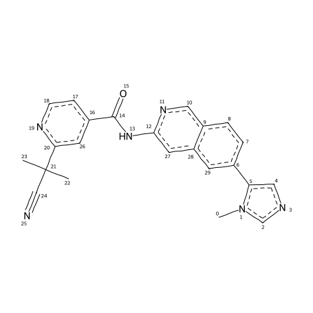 Cn1cncc1-c1ccc2cnc(NC(=O)c3ccnc(C(C)(C)C#N)c3)cc2c1